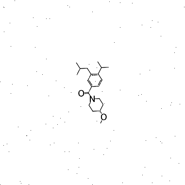 COC1CCN(C(=O)c2ccc(C(C)C)c(CC(C)C)c2)CC1